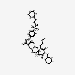 CCCCN1C(=O)[C@H](CC2CCCCC2)NC(=O)C12CCN(Cc1c(C)nn(-c3ccc(S(=O)(=O)NCCN4CCOCC4)cc3)c1C)CC2